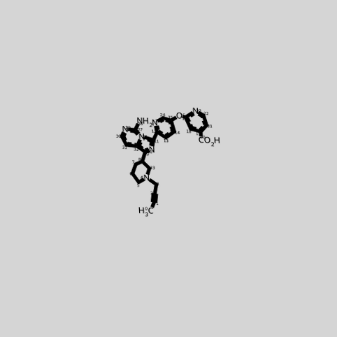 CC#CCN1CCCC(c2nc(-c3ccc(Oc4cc(C(=O)O)ccn4)cn3)n3c(N)nccc23)C1